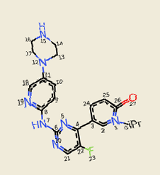 CC(C)n1cc(-c2nc(Nc3ccc(N4CCNCC4)cn3)ncc2F)ccc1=O